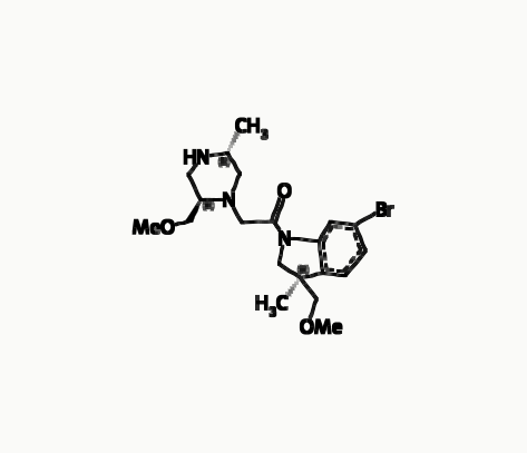 COC[C@H]1CN[C@H](C)CN1CC(=O)N1C[C@](C)(COC)c2ccc(Br)cc21